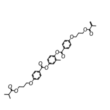 C=C(C)C(=O)OCCCOc1ccc(C(=O)Oc2ccc(OC(=O)c3ccc(OCCCOC(=O)C(C)C)cc3)cc2C)cc1